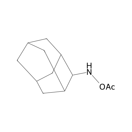 CC(=O)ONC1C2CC3CC(C2)CC1C3